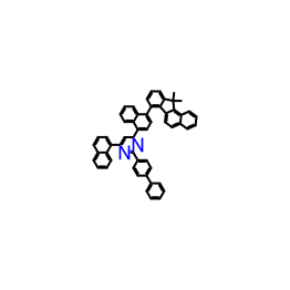 CC1(C)c2cccc(-c3ccc(-c4cc(-c5cccc6ccccc56)nc(-c5ccc(-c6ccccc6)cc5)n4)c4ccccc34)c2-c2ccc3ccccc3c21